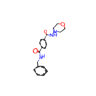 O=C(NCc1ccccc1)c1ccc(C(=O)NN2CCOCC2)cc1